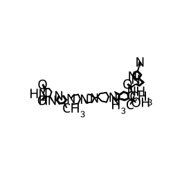 Cc1cc(NC2CCC(=O)NC2=O)ncc1N1CCC(N2CCN(C3CCC(n4cc5cc(NC(=O)c6ccc7cc(C#N)cnn67)c(C(C)(C)O)cc5n4)CC3)CC2)CC1